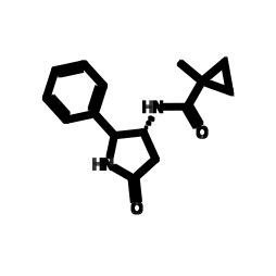 CC1(C(=O)N[C@@H]2CC(=O)NC2c2ccccc2)CC1